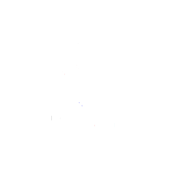 CCOC(=O)c1cn2c3c(c(F)ccc3c1=O)OCC2C